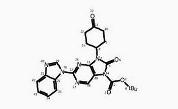 CC(C)(C)OC(=O)n1c(=O)n(C2CCC(=O)CC2)c2nc(-n3cnc4ccccc43)ncc21